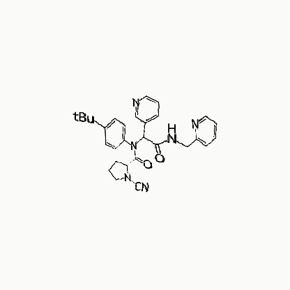 CC(C)(C)c1ccc(N(C(=O)[C@H]2CCCN2C#N)C(C(=O)NCc2ccccn2)c2cccnc2)cc1